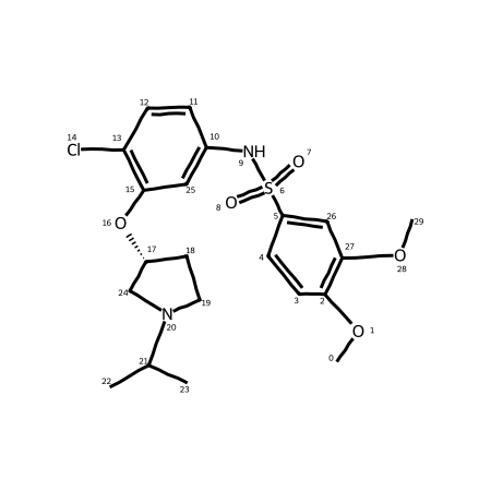 COc1ccc(S(=O)(=O)Nc2ccc(Cl)c(O[C@@H]3CCN(C(C)C)C3)c2)cc1OC